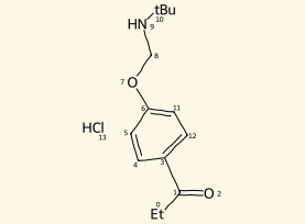 CCC(=O)c1ccc(OCNC(C)(C)C)cc1.Cl